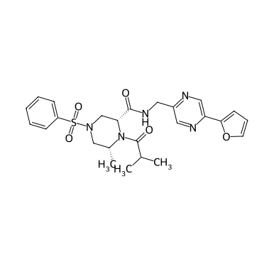 CC(C)C(=O)N1[C@H](C)CN(S(=O)(=O)c2ccccc2)C[C@@H]1C(=O)NCc1cnc(-c2ccco2)cn1